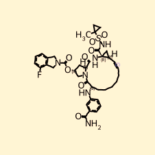 CC1(S(=O)(=O)NC(=O)[C@@]23C[C@H]2/C=C\CCCCC[C@H](Nc2cccc(C(N)=O)c2)C(=O)N2C[C@H](OC(=O)N4Cc5cccc(F)c5C4)C[C@H]2C(=O)N3)CC1